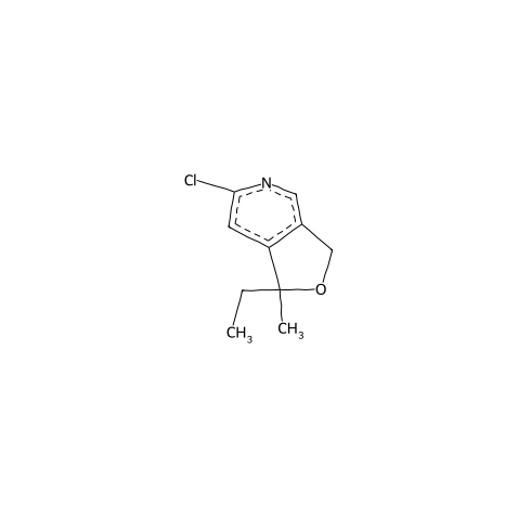 CCC1(C)OCc2cnc(Cl)cc21